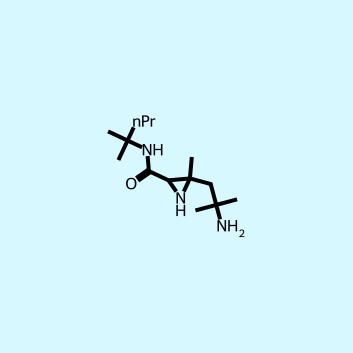 CCCC(C)(C)NC(=O)C1NC1(C)CC(C)(C)N